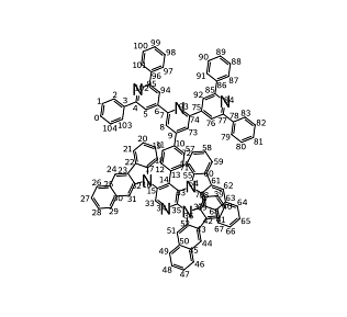 c1ccc(-c2cc(-c3cc(-c4ccc(-c5c(-n6c7ccccc7c7cc8ccccc8cc76)cnc(-n6c7ccccc7c7cc8ccccc8cc76)c5-n5c6ccccc6c6cc7ccccc7cc65)cc4)cc(-c4cc(-c5ccccc5)nc(-c5ccccc5)c4)n3)cc(-c3ccccc3)n2)cc1